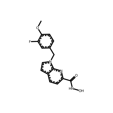 COc1ccc(Cn2ccc3ccc(C(=O)NO)nc32)cc1F